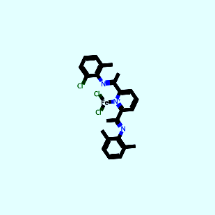 CC(=Nc1c(C)cccc1C)c1cccc(C(C)=Nc2c(C)cccc2Cl)[n+]1[Fe]([Cl])[Cl]